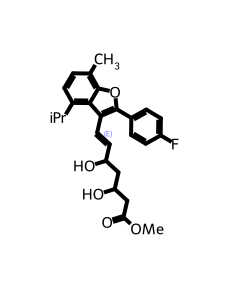 COC(=O)CC(O)CC(O)/C=C/c1c(-c2ccc(F)cc2)oc2c(C)ccc(C(C)C)c12